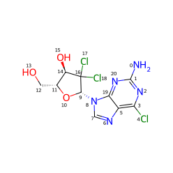 Nc1nc(Cl)c2ncn([C@@H]3O[C@H](CO)[C@@H](O)C3(Cl)Cl)c2n1